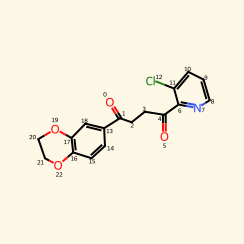 O=C(CCC(=O)c1ncccc1Cl)c1ccc2c(c1)OCCO2